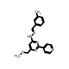 COCc1cc(N/N=C/c2cccc(C)c2)nc(-c2ccncc2)n1